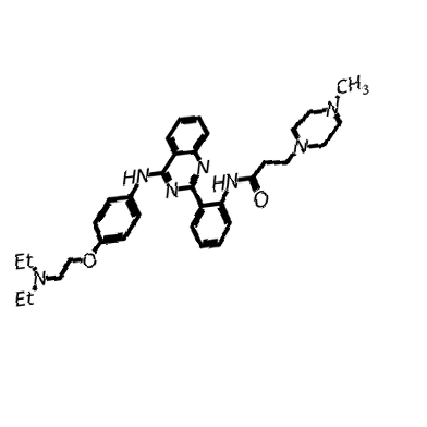 CCN(CC)CCOc1ccc(Nc2nc(-c3ccccc3NC(=O)CCN3CCN(C)CC3)nc3ccccc23)cc1